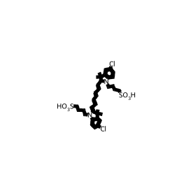 CC1(C)\C(=C/C=C/C=C/C=C/C2N(CCCCS(=O)(=O)O)c3ccc(Cl)cc3C2(C)C)N(CCCCS(=O)(=O)O)c2ccc(Cl)cc21